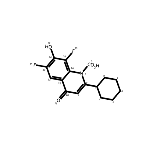 O=C(O)n1c(C2CCCCC2)cc(=O)c2cc(F)c(O)c(F)c21